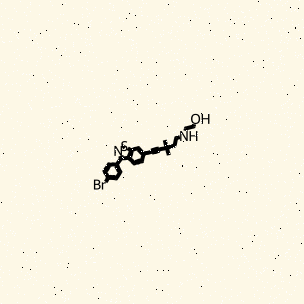 CC(C)(C#Cc1ccc2c(-c3ccc(Br)cc3)nsc2c1)CCNCCO